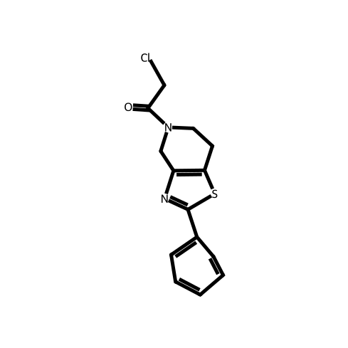 O=C(CCl)N1CCc2sc(-c3ccccc3)nc2C1